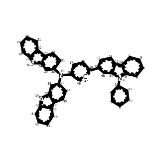 c1ccc(-n2c3ccccc3c3ccc(-c4ccc(N(c5ccc6c(c5)sc5ccccc56)c5ccc6c(c5)sc5ccccc56)cc4)cc32)cc1